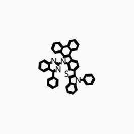 c1ccc(-c2nc(-n3c4c(ccc5c4sc4c6ccccc6n(-c6ccccc6)c54)c4c5ccccc5c5ccccc5c43)nc3ccccc23)cc1